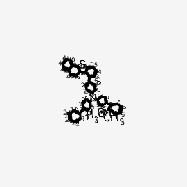 CS1(C)c2ccccc2-c2ccc(N(c3ccc(-c4ccccc4)cc3)c3ccc4c(c3)sc3ccc5sc6c7ccccc7ccc6c5c34)cc21